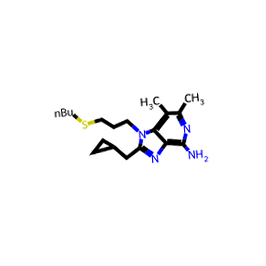 CCCCSCCCn1c(CC2CC2)nc2c(N)nc(C)c(C)c21